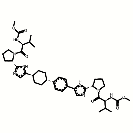 COC(=O)N[C@H](C(=O)N1CCC[C@H]1c1ncc(-c2ccc([C@H]3CC[C@H](c4cnc([C@@H]5CCCN5C(=O)[C@@H](NC(=O)OC)C(C)C)[nH]4)CC3)cc2)[nH]1)C(C)C